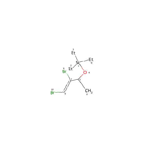 CC[Si](CC)(CC)OC(C)C(Br)=CBr